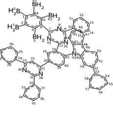 Bc1c(B)c(B)c(-c2nc(-c3ccccc3)nc(-c3cc(-c4cc(-c5ccccc5)nc(-c5ccccc5)n4)ccc3-n3c4ccccc4c4ccc(-c5ccccc5)cc43)n2)c(B)c1B